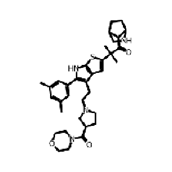 Cc1cc(C)cc(-c2[nH]c3sc(C(C)(C)C(=O)C4C5CCC4NC5)cc3c2CCN2CCC(C(=O)N3CCOCC3)C2)c1